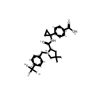 CC1(C)CC(C(=O)NC2(c3ccc(C(=O)O)cc3)CC2)N(Cc2ccc(C(F)(F)F)cc2)C1